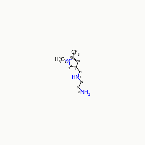 Cn1cc(CNCCN)cc1C(F)(F)F